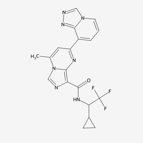 Cc1cc(-c2cccn3cnnc23)nc2c(C(=O)NC(C3CC3)C(F)(F)F)ncn12